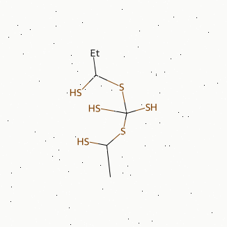 CCC(S)SC(S)(S)SC(C)S